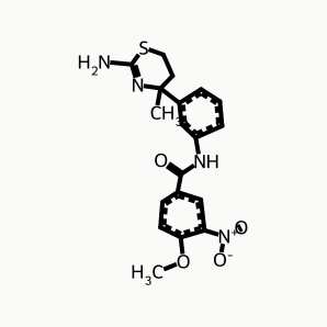 COc1ccc(C(=O)Nc2cccc(C3(C)CCSC(N)=N3)c2)cc1[N+](=O)[O-]